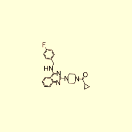 O=C(C1CC1)N1CCN(c2nc(NCc3ccc(F)cc3)c3ccccc3n2)CC1